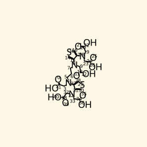 O=C(O)CN(CCCN(CC(=O)O)c1cscc1N(CC(=O)O)CC(=O)O)c1cscc1N(CC(=O)O)CC(=O)O